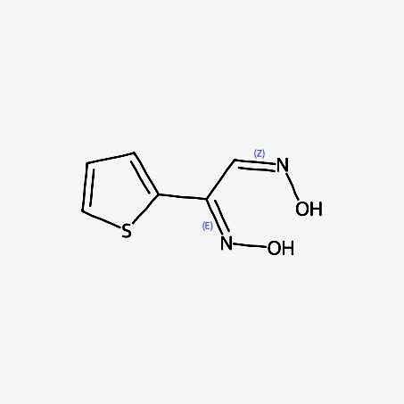 O/N=C\C(=N/O)c1cccs1